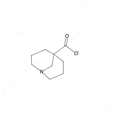 O=C(Cl)C12CCCN(CCC1)C2